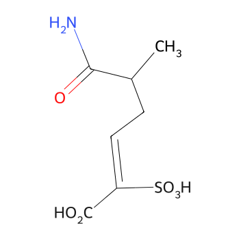 CC(CC=C(C(=O)O)S(=O)(=O)O)C(N)=O